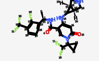 C[C@@H](NC(=O)c1cn(C2(C(F)F)CC2)c(=O)cc1NC1[C@H]2CNC[C@@H]12)c1cccc(C(F)F)c1F